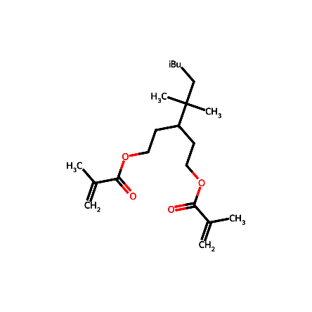 [CH2]CC(C)CC(C)(C)[C](CCOC(=O)C(=C)C)CCOC(=O)C(=C)C